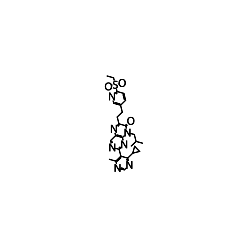 CCS(=O)(=O)c1ccc(CCc2nc3cnc(-c4c(C)ncnc4C4CC4)nc3n(CC(C)C)c2=O)cn1